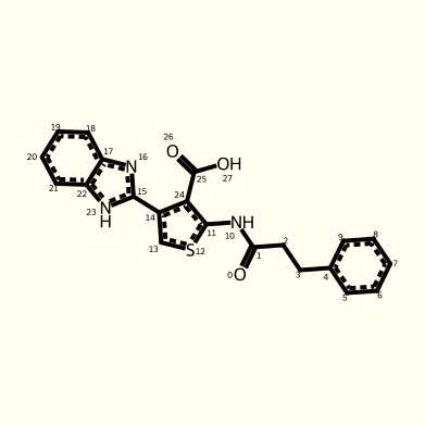 O=C(CCc1ccccc1)Nc1scc(-c2nc3ccccc3[nH]2)c1C(=O)O